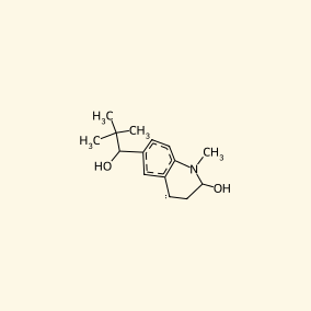 CN1c2ccc(C(O)C(C)(C)C)cc2[C]CC1O